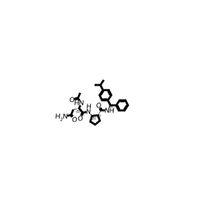 CC(=O)N[C@@H](CC(N)=O)C(=O)N[C@H]1CCC[C@H]1C(=O)N[C@@H](c1ccccc1)c1ccc(C(C)C)cc1